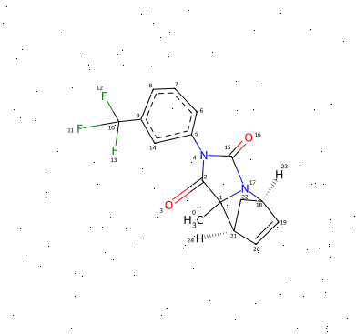 CC12C(=O)N(c3cccc(C(F)(F)F)c3)C(=O)N1[C@H]1C=C[C@@H]2C1